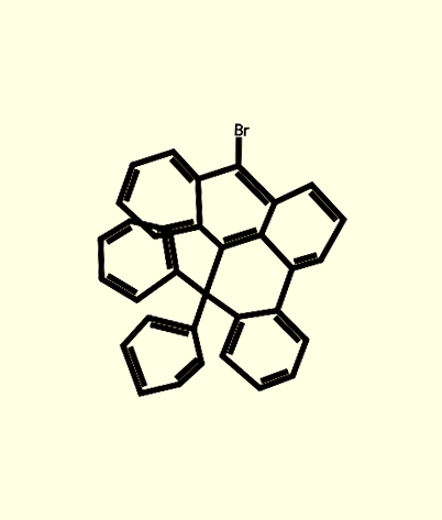 Brc1c2ccccc2c2c3c(cccc13)-c1ccccc1C2(c1ccccc1)c1ccccc1